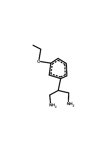 CCOc1cccc(C(CN)CN)c1